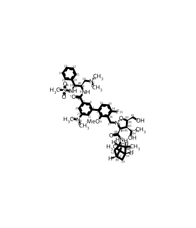 COc1c(-c2cc(C(=O)N[C@H](CN(C)C)[C@@H](NS(C)(=O)=O)c3ccccc3)cc(N(C)C)c2)ccc(F)c1CN1O[C@@H](CO)[C@@H]([C@H](C)O)[C@H]1C(=O)N[C@H]1C[C@H]2C[C@@H]([C@@H]1C)C2(C)C